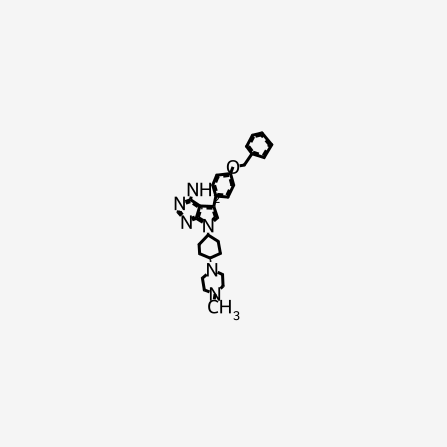 CN1CCN([C@H]2CC[C@H](n3cc(-c4ccc(OCc5ccccc5)cc4)c4c(N)ncnc43)CC2)CC1